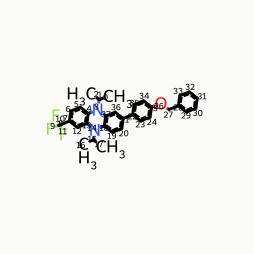 CC(C)N1c2ccc(C(F)(F)F)cc2N(C(C)C)c2ccc(-c3ccc(OCc4ccccc4)cc3)cc21